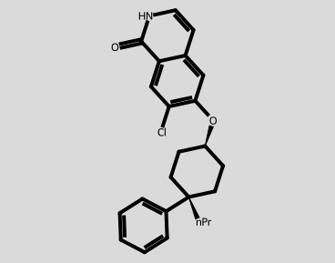 CCC[C@]1(c2ccccc2)CC[C@H](Oc2cc3cc[nH]c(=O)c3cc2Cl)CC1